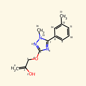 C=C(O)COc1nc(-c2cccc(C)c2)n(C)n1